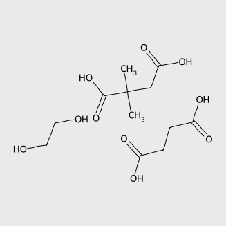 CC(C)(CC(=O)O)C(=O)O.O=C(O)CCC(=O)O.OCCO